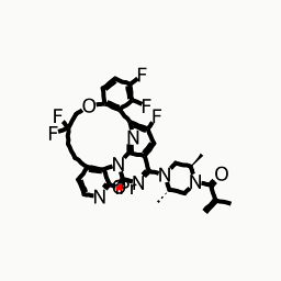 C=C(C)C(=O)N1C[C@H](C)N(c2nc(=O)n3c4nc(c(F)cc24)-c2c(ccc(F)c2F)OCC(F)(F)CCc2ccnc(C(C)C)c2-3)C[C@H]1C